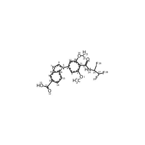 COc1cc(-n2cnc3cc(C(=O)O)ccc32)cc(OC)c1C(=O)NC(F)C(F)F